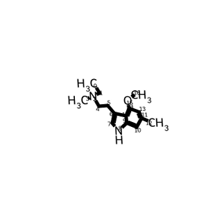 CCN(C)CCc1c[nH]c2cc(C)cc(OC)c12